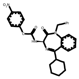 CC(C)CN1C(=O)[C@H](NC(=O)Oc2ccc([N+](=O)[O-])cc2)N=C(C2CCCCC2)c2ccccc21